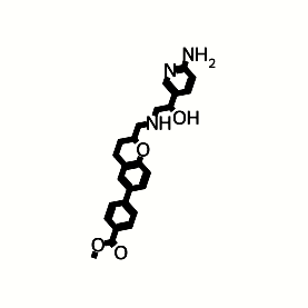 COC(=O)c1ccc(-c2ccc3c(c2)CCC(CNCC(O)c2ccc(N)nc2)O3)cc1